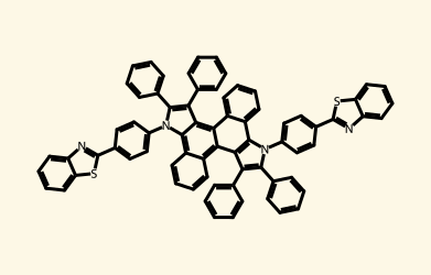 c1ccc(-c2c(-c3ccccc3)n(-c3ccc(-c4nc5ccccc5s4)cc3)c3c4ccccc4c4c5c(-c6ccccc6)c(-c6ccccc6)n(-c6ccc(-c7nc8ccccc8s7)cc6)c5c5ccccc5c4c23)cc1